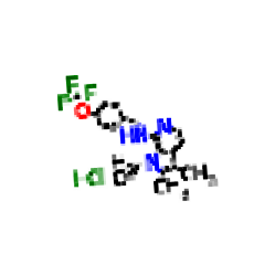 C=CCn1c(C)c(C)c2ccnc(NCc3ccc(OC(F)(F)F)cc3)c21.Cl